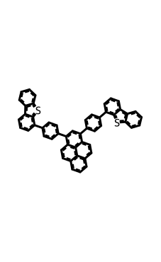 c1cc2ccc3c(-c4ccc(-c5cccc6c5sc5ccccc56)cc4)cc(-c4ccc(-c5cccc6c5sc5ccccc56)cc4)c4ccc(c1)c2c34